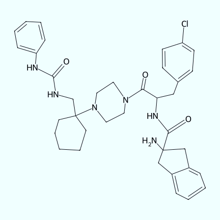 NC1(C(=O)NC(Cc2ccc(Cl)cc2)C(=O)N2CCN(C3(CNC(=O)Nc4ccccc4)CCCCC3)CC2)Cc2ccccc2C1